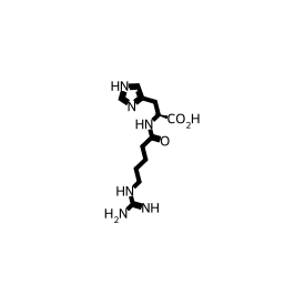 N=C(N)NCCCCC(=O)N[C@@H](Cc1c[nH]cn1)C(=O)O